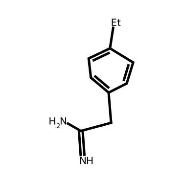 CCc1ccc(CC(=N)N)cc1